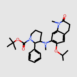 CC(C)Oc1cc2c(cc1N(C)C1CCCN(C(=O)OC(C)(C)C)C1c1ccccc1)N(C)C(=O)CC2